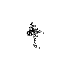 COCCOCCOC(=O)N[C@@H](CC(C)C)C(=O)N[C@@H](Cc1ccccc1)C(O)C(=O)NC1CC1